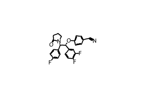 N#Cc1ccc(O[C@@H](c2ccc(F)c(F)c2)[C@@H](c2ccc(F)cc2)N2CCCC2=O)cc1